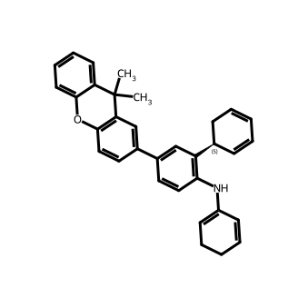 CC1(C)c2ccccc2Oc2ccc(-c3ccc(NC4=CCCC=C4)c([C@@H]4C=CC=CC4)c3)cc21